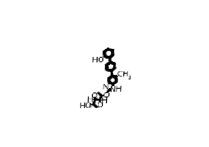 Cc1cc2[nH]c(O[C@@H]3CO[C@H]4[C@@H]3OC[C@H]4O)nc2cc1-c1ccc(-c2ccccc2O)cc1